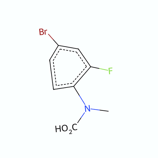 CN(C(=O)O)c1ccc(Br)cc1F